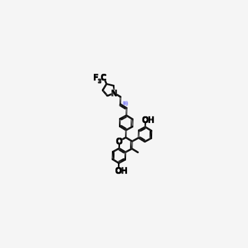 CC1=C(c2cccc(O)c2)C(c2ccc(/C=C/CN3CCC(C(F)(F)F)C3)cc2)Oc2ccc(O)cc21